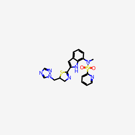 CN(c1cccc2cc(C3=NCC(Cn4cncn4)S3)[nH]c12)S(=O)(=O)c1ccccn1